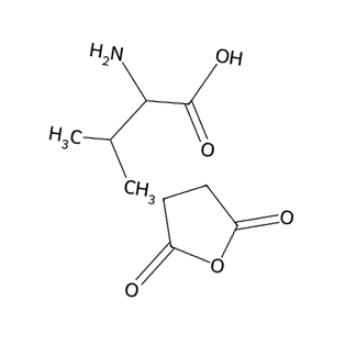 CC(C)C(N)C(=O)O.O=C1CCC(=O)O1